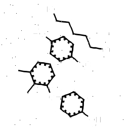 CC(C)CCCCCO.Cc1cccc(O)c1C.O=[N+]([O-])c1ccc(O)cc1.Oc1ccccc1